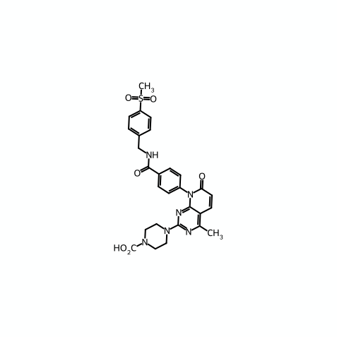 Cc1nc(N2CCN(C(=O)O)CC2)nc2c1ccc(=O)n2-c1ccc(C(=O)NCc2ccc(S(C)(=O)=O)cc2)cc1